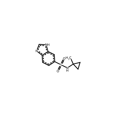 CC1(NS(=O)(=O)c2ccc3nc[nH]c3c2)CC1